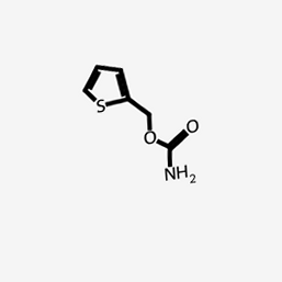 NC(=O)OCc1cccs1